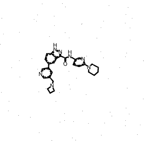 O=C(Nc1ccc(N2CCCCC2)nc1)c1n[nH]c2ccc(-c3cncc(CN4CCC4)c3)cc12